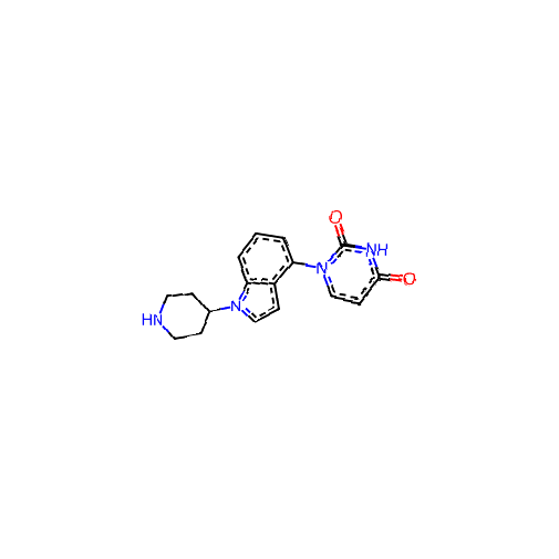 O=c1ccn(-c2cccc3c2ccn3C2CCNCC2)c(=O)[nH]1